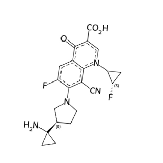 N#Cc1c(N2CC[C@@H](C3(N)CC3)C2)c(F)cc2c(=O)c(C(=O)O)cn(C3C[C@@H]3F)c12